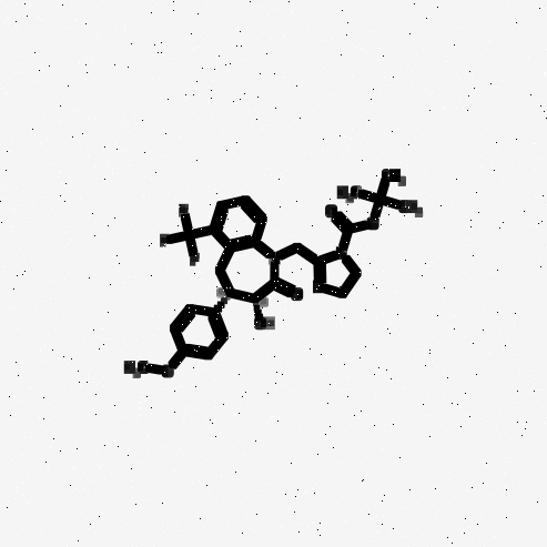 COc1ccc([C@@H]2Cc3c(cccc3C(F)(F)F)N(CC3=NCCN3C(=O)OC(C)(C)C)C(=O)[C@@H]2O)cc1